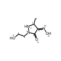 CC1NN(CCO)C(=O)C1=NO